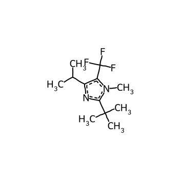 CC(C)c1nc(C(C)(C)C)n(C)c1C(F)(F)F